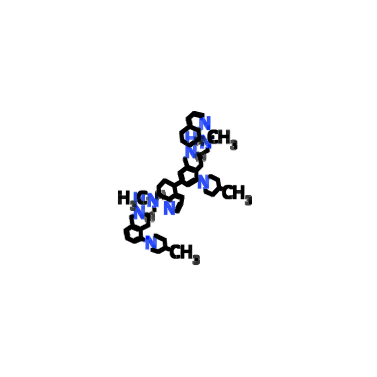 CC1CCN(c2cc(C3CC[C@H](N(C)C[C@@H]4Cc5c(cccc5N5CCC(C)CC5)CN4)c4ncccc43)cc3c2C[C@H](CN(C)[C@H]2CCCc4cccnc42)NC3)CC1